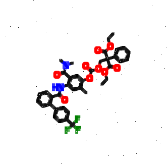 CCOC(=O)C(COC(=O)Oc1cc(C(=O)N(C)C)c(NC(=O)c2ccccc2-c2ccc(C(F)(F)F)cc2)cc1C)(C(=O)OCC)c1ccccc1